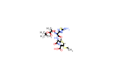 CCSC1=C(C(=O)O)N2C(=O)C(NC(=O)C(=NOC(C)C(=O)OC(C)(C)C)c3nsc(N)n3)[C@@H]2SC1